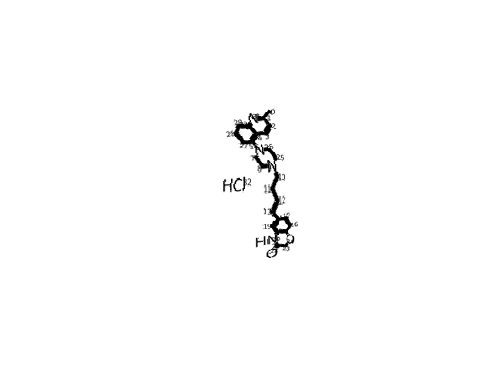 Cc1ccc2c(N3CCN(CCCCc4ccc5c(c4)NC(=O)CO5)CC3)cccc2n1.Cl